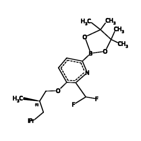 CC(C)C[C@@H](C)COc1ccc(B2OC(C)(C)C(C)(C)O2)nc1C(F)F